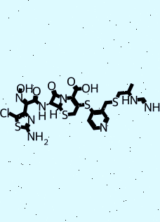 CC(CSCc1cnccc1SC1=C(C(=O)O)N2C(=O)[C@@H](NC(=O)/C(=N\O)c3nc(N)sc3Cl)[C@@H]2SC1)NC=N